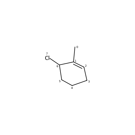 CC1=CCCCC1Cl